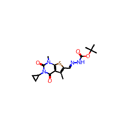 Cc1c(/C=N/NC(=O)OC(C)(C)C)sc2c1c(=O)n(C1CC1)c(=O)n2C